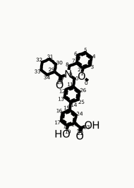 COc1ccccc1CN(Cc1ccc(-c2ccc(O)c(C(=O)O)c2)cc1)C(=O)C1CCCCC1